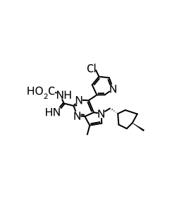 Cc1cn(C[C@H]2CC[C@H](C)CC2)c2c(-c3cncc(Cl)c3)nc(C(=N)NC(=O)O)nc12